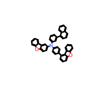 c1cc(-c2cccc3ccccc23)cc(N(c2ccc(-c3cccc4oc5ccccc5c34)cc2)c2ccc3oc4ccccc4c3c2)c1